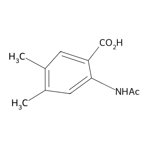 CC(=O)Nc1cc(C)c(C)cc1C(=O)O